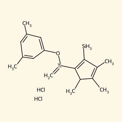 Cl.Cl.[CH2]=[Ti]([O]c1cc(C)cc(C)c1)[C]1=C([SiH3])C(C)=C(C)C1C